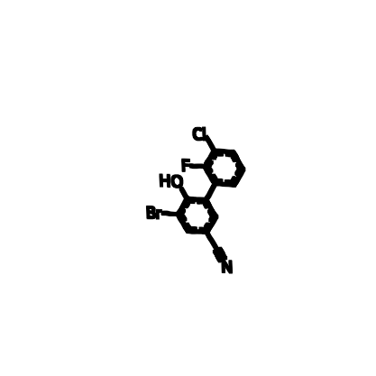 N#Cc1cc(Br)c(O)c(-c2cccc(Cl)c2F)c1